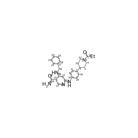 CCC(=O)N1CCC(c2ccc(Nc3cc(NCc4ccccc4)c(C(N)=O)cn3)cc2)CC1